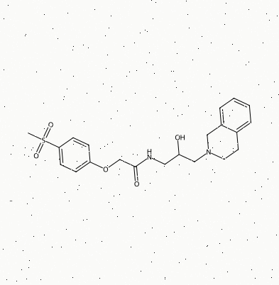 CS(=O)(=O)c1ccc(OCC(=O)NCC(O)CN2CCc3ccccc3C2)cc1